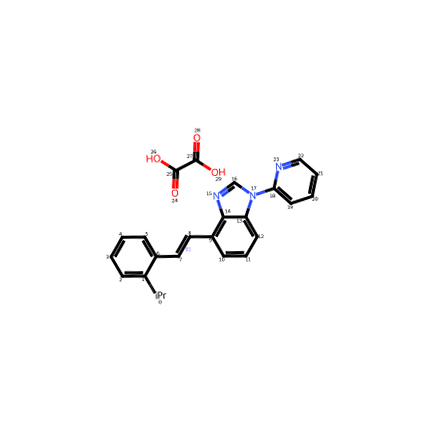 CC(C)c1ccccc1/C=C/c1cccc2c1ncn2-c1ccccn1.O=C(O)C(=O)O